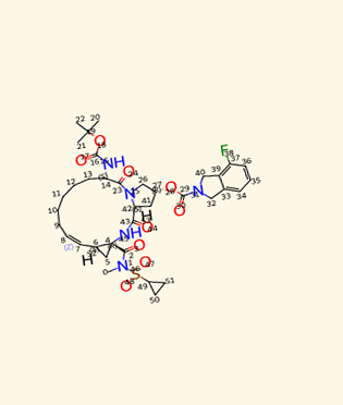 CN(C(=O)[C@@]12C[C@H]1/C=C\CCCCC[C@H](NC(=O)OC(C)(C)C)C(=O)N1C[C@H](OC(=O)N3Cc4cccc(F)c4C3)C[C@H]1C(=O)N2)S(=O)(=O)C1CC1